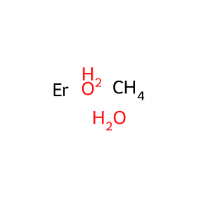 C.O.O.[Er]